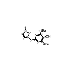 CN1C=CN(Cc2cc(C(C)(C)C)c(O)c(C(C)(C)C)c2)C1